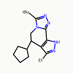 CCc1n[nH]c2c1C(C1CCCC1)Cn1c-2nnc1C(C)(C)C